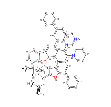 C[SiH](C)Cc1cccc2c1oc1c(-c3ccccc3)cc3c(N4C=CC=CC4)c(N4C=NC=NC4)c4c(-c5cccc(-c6ccccc6)c5)cc5c6cccc(C(C)(C)C)c6oc5c4c3c12